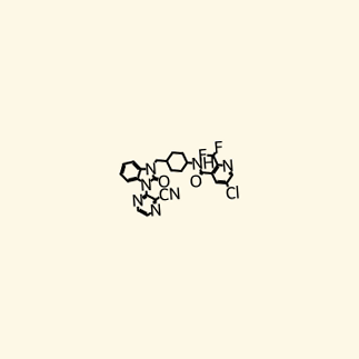 N#Cc1nccnc1-n1c(=O)n(CC2CCC(NC(=O)c3cc(Cl)cnc3C(F)F)CC2)c2ccccc21